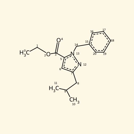 CCOC(=O)c1cc(CC(C)C)nn1Cc1ccccc1